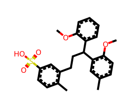 COc1ccccc1C(CCc1cc(S(=O)(=O)O)ccc1C)c1cc(C)ccc1OC